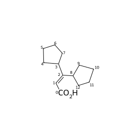 O=C(O)C=C(C1CCCC1)C1CCCC1